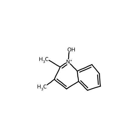 Cc1cc2ccccc2[n+](O)c1C